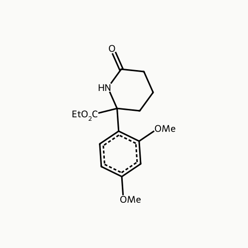 CCOC(=O)C1(c2ccc(OC)cc2OC)CCCC(=O)N1